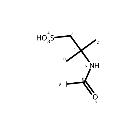 CC(C)(CS(=O)(=O)O)NC(=O)I